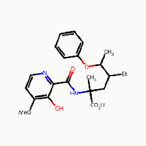 CCC(CC(C)(NC(=O)c1nccc(OC)c1O)C(=O)O)C(C)Oc1ccccc1